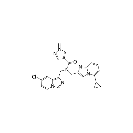 O=C(c1cn[nH]c1)N(Cc1cn2c(C3CC3)cccc2n1)Cc1ncn2ccc(Cl)cc12